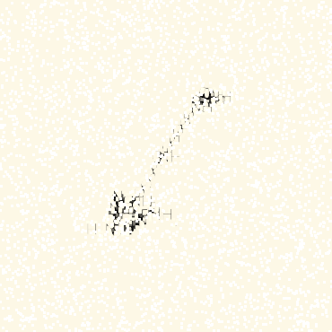 CCn1nc(C)cc1C(=O)N=c1n(C)c2cc(C(N)=O)ccc2n1CCC(CCn1c(=NC(=O)c2cc(C)nn2CC)n(C)c2cc(C(N)=O)ccc21)OCC(=O)NCCOCCOCCOCCOCCC(=O)NCCOCCOCCOCCOCCOCCNc1cccc2c1C(=O)N(C1CCC(=O)NC1=O)C2=O